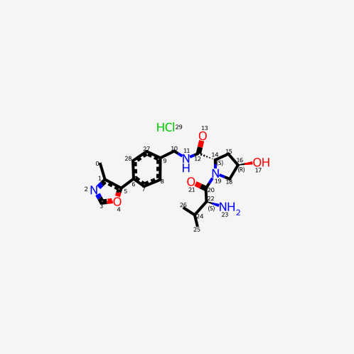 Cc1ncoc1-c1ccc(CNC(=O)[C@@H]2C[C@@H](O)CN2C(=O)[C@@H](N)C(C)C)cc1.Cl